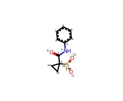 O=C(Nc1ccccc1)C1([SH](=O)=O)CC1